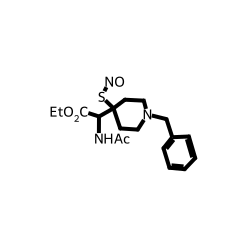 CCOC(=O)C(NC(C)=O)C1(SN=O)CCN(Cc2ccccc2)CC1